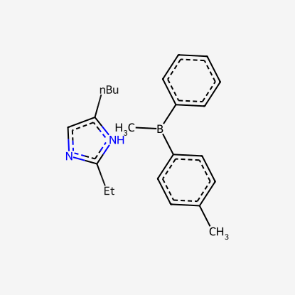 CB(c1ccccc1)c1ccc(C)cc1.CCCCc1cnc(CC)[nH]1